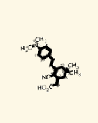 CN(C)c1ccc(/C=C/C2=C(C#N)C(=C\C(=O)O)/CC(C)(C)C2)cc1